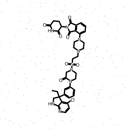 CCC1(c2cccc(N3CCN(S(=O)(=O)CCN4CCN(c5cccc6c5C(=O)N(C5CCC(=O)NC5=O)C6=O)CC4)CC3=O)c2)CNc2nccc(Cl)c21